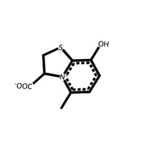 Cc1ccc(O)c2[n+]1C(C(=O)[O-])CS2